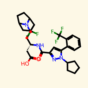 O=C(O)C[C@H](CCN1C2CCC1CC(F)(F)C2)NC(=O)c1cc(-c2ccccc2C(F)(F)F)n(C2CCCC2)n1